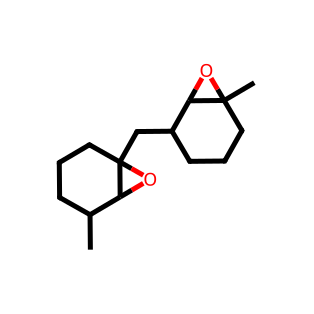 CC1CCCC2(CC3CCCC4(C)OC34)OC12